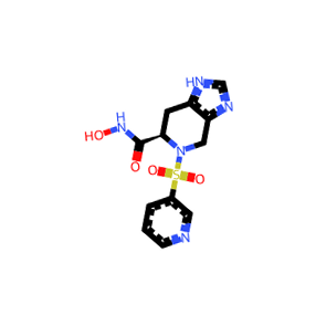 O=C(NO)[C@H]1Cc2[nH]cnc2CN1S(=O)(=O)c1cccnc1